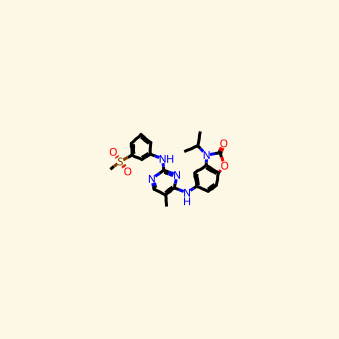 Cc1cnc(Nc2cccc(S(C)(=O)=O)c2)nc1Nc1ccc2oc(=O)n(C(C)C)c2c1